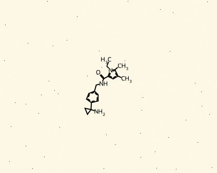 CCn1c(C(=O)NCc2ccc(C3(N)CC3)cc2)cc(C)c1C